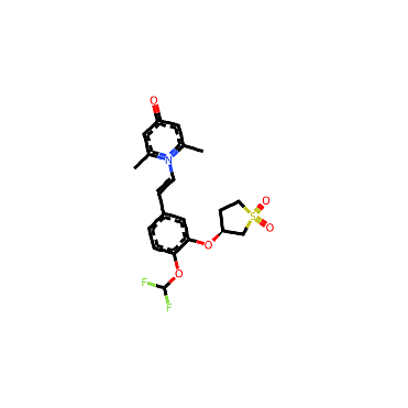 Cc1cc(=O)cc(C)n1/C=C/c1ccc(OC(F)F)c(O[C@H]2CCS(=O)(=O)C2)c1